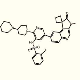 CN1C(=O)C2(CCC2)c2c1cnc1ccc(-c3cnc(N4CCC(N5CCCCC5)CC4)c(NS(=O)(=O)c4ccccc4F)c3)cc21